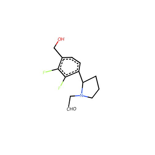 O=CCN1CCCC1c1ccc(CO)c(F)c1F